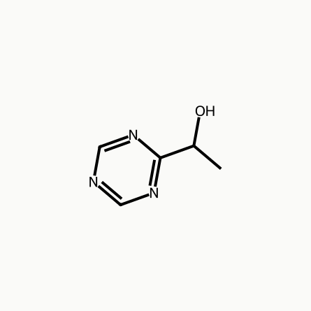 CC(O)c1ncncn1